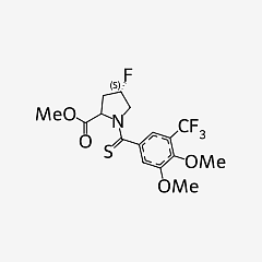 COC(=O)C1C[C@H](F)CN1C(=S)c1cc(OC)c(OC)c(C(F)(F)F)c1